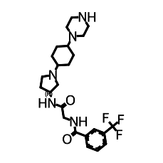 O=C(CNC(=O)c1cccc(C(F)(F)F)c1)N[C@@H]1CCN(C2CCC(N3CCNCC3)CC2)C1